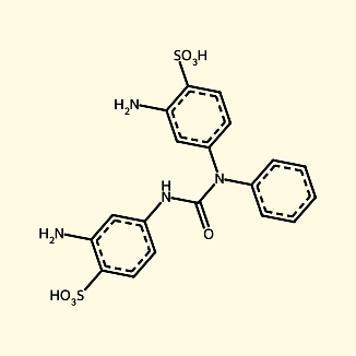 Nc1cc(NC(=O)N(c2ccccc2)c2ccc(S(=O)(=O)O)c(N)c2)ccc1S(=O)(=O)O